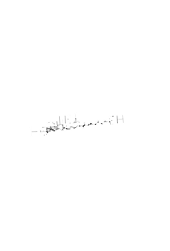 CCCCCCCCCCCCCCCCCCC(O)CO.Cl